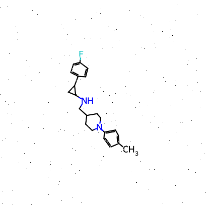 Cc1ccc(N2CCC(CNC3CC3c3ccc(F)cc3)CC2)cc1